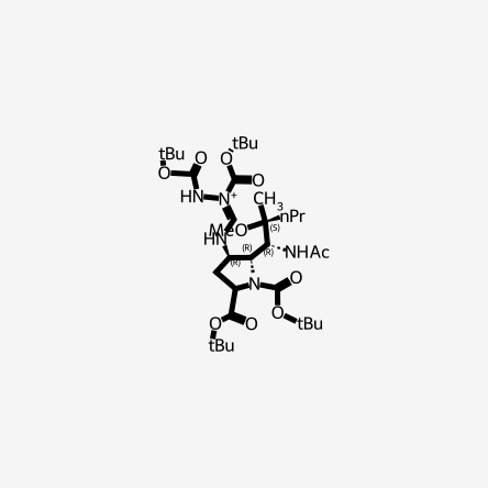 CCC[C@](C)(OC)[C@H](NC(C)=O)[C@H]1[C@H](NC=[N+](NC(=O)OC(C)(C)C)C(=O)OC(C)(C)C)CC(C(=O)OC(C)(C)C)N1C(=O)OC(C)(C)C